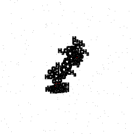 C/C=C(/C)C(=O)O[C@H]1[C@H](OC(=O)/C(C)=C\C)[C@@]2(CO)C(CC1(C)C)C1=CCC3[C@@]4(C)CCC(O[C@@H]5OC(C(=O)O)[C@@H](O)C(OC6OC(CO)C(O)C6O)[C@@H]5O[C@@H]5OC(CO)[C@@H](O)C(O)[C@@H]5O)[C@](C)(CO)C4CC[C@@]3(C)[C@]1(C)[C@@H](O)[C@H]2O